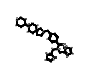 O=C(c1ccc(CN2CCC3(CCN(C4CCOCC4)CC3)C2)cc1)N(Cc1ncc[nH]1)Cc1ncc[nH]1